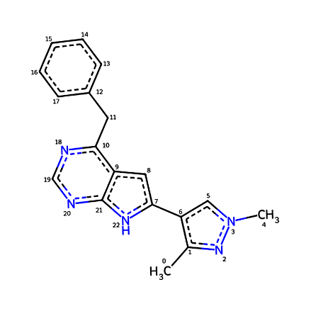 Cc1nn(C)cc1-c1cc2c(Cc3ccccc3)ncnc2[nH]1